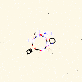 CCC[C@H]1C(=O)N[C@@H](C2CCCCCC2)C(=O)N[C@@H](CN)C(=O)N[C@@H](C(C)O)C(=O)NCC(=O)O[C@H](C[C@H]2CC3CCC2C3)[C@@H](C)C(=O)N1C